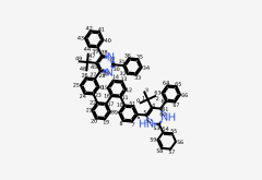 CC(C)(C)C1=C(c2cccc(-c3ccccc3-c3ccccc3-c3cccc(-c4nc(-c5ccccc5)nc(-c5ccccc5)c4C(C)(C)C)c3)c2)NC(C2=CCCC=C2)NC1c1ccccc1